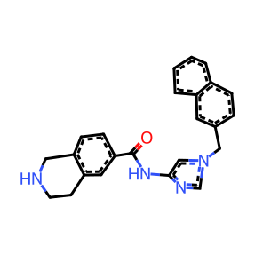 O=C(Nc1cn(Cc2ccc3ccccc3c2)cn1)c1ccc2c(c1)CCNC2